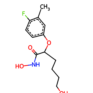 Cc1cc(OC(CCCCO)C(=O)NO)ccc1F